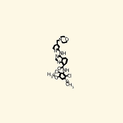 COc1cc(OC)c(Cl)c(NC(=O)c2cccc3c(Nc4cc(CN5CCOCC5)ccn4)ncnc23)c1Cl